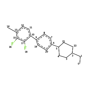 CCC1CCC(c2ccc(-c3ccc(C)c(F)c3F)cc2)CC1